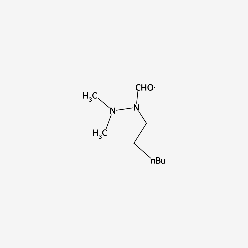 CCCCCCN([C]=O)N(C)C